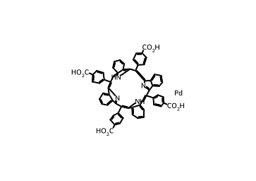 O=C(O)c1ccc(-c2c3nc(c(-c4ccc(C(=O)O)cc4)c4[nH]c(c(-c5ccc(C(=O)O)cc5)c5nc(c(-c6ccc(C(=O)O)cc6)c6[nH]c2c2ccccc62)-c2ccccc2-5)c2ccccc42)-c2ccccc2-3)cc1.[Pd]